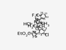 CCOC(=O)c1csc(-c2cc(Cl)ccc2OC(C)(C)c2nnc(-c3ccccc3C(F)(F)F)n2C)n1.Cl